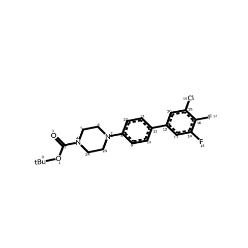 CC(C)(C)OC(=O)N1CCN(c2ccc(-c3cc(F)c(F)c(Cl)c3)cc2)CC1